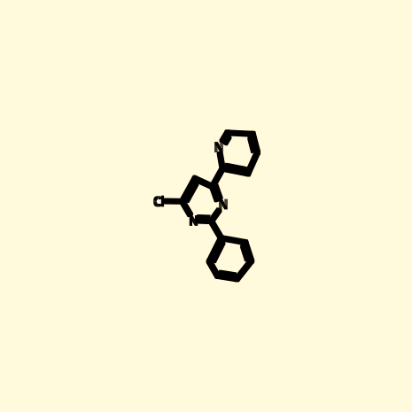 Clc1cc(-c2ccccn2)nc(-c2ccccc2)n1